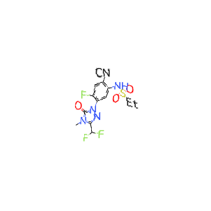 CCS(=O)(=O)Nc1cc(-n2nc(C(F)F)n(C)c2=O)c(F)cc1C#N